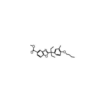 CCCCOc1ccc(C(CC)(CC)c2nc3cc(C(=O)OC)ccc3o2)cc1C